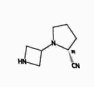 N#C[C@H]1CCCN1C1CNC1